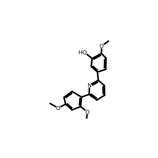 COc1ccc(-c2cccc(-c3ccc(OC)c(O)c3)n2)c(OC)c1